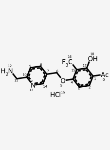 CC(=O)c1ccc(OCc2ccc(CN)nc2)c(C(F)(F)F)c1O.Cl